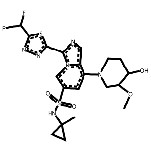 COC1CN(c2cc(S(=O)(=O)NC3(C)CC3)cn3c(-c4nnc(C(F)F)s4)ncc23)CCC1O